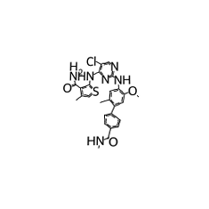 CNC(=O)c1ccc(-c2cc(OC)c(Nc3ncc(Cl)c(Nc4scc(C)c4C(N)=O)n3)cc2C)cc1